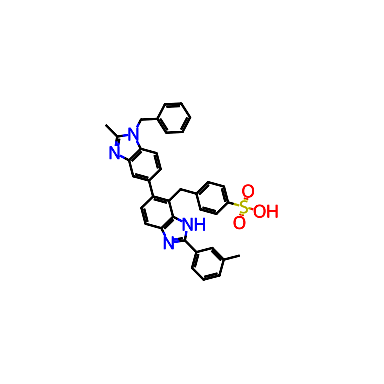 Cc1cccc(-c2nc3ccc(-c4ccc5c(c4)nc(C)n5Cc4ccccc4)c(Cc4ccc(S(=O)(=O)O)cc4)c3[nH]2)c1